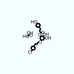 O=C(/C=C/c1ccc(O)cc1)O[C@@H]1C[C@@H](OC/C=C/c2ccc(Cl)cc2)C[C@H](O)[C@H]1O.O=C(O)O